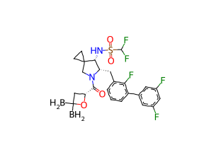 BC1(B)C[C@H](C(=O)N2CC3(CC3)[C@H](NS(=O)(=O)C(F)F)[C@@H]2Cc2cccc(-c3cc(F)cc(F)c3)c2F)O1